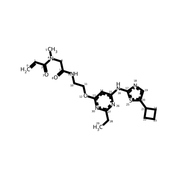 C=CC(=O)N(C)CC(=O)NCCOc1cc(Nc2ncc(C3CCC3)s2)nc(CC)n1